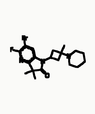 CC1(C)C(=O)N(C2CC(C)(N3CCCCC3)C2)c2cc(Br)c(F)nc21